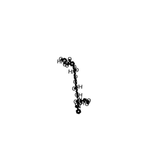 CS(=O)(=O)n1ccc(C(=O)N[C@@H](CCOCCCC(=O)NCCOCCOCCNC(=O)COc2ccc3c(c2)C(=O)N(C2CCC(=O)NC2=O)C3=O)C(=O)Nc2nc(-c3ccccc3)cs2)c1